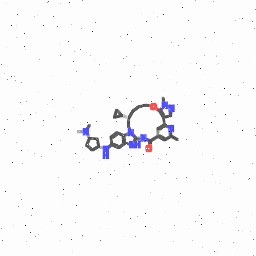 Cc1cc2cc(n1)-c1cnn(C)c1OCCC[C@@H](C1CC1)CN1/C(=N/C2=O)Nc2cc(N[C@@H]3CC[C@H](N(C)C)C3)ccc21